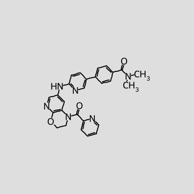 CN(C)C(=O)c1ccc(-c2ccc(Nc3cnc4c(c3)N(C(=O)c3ccccn3)CCO4)nc2)cc1